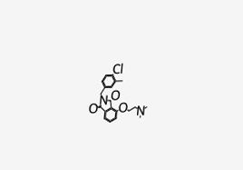 Cc1cc(CN2C(=O)c3cccc(OCCN(C)C)c3C2=O)ccc1Cl